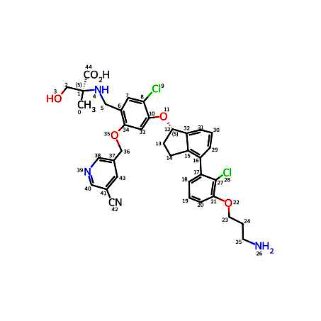 C[C@@](CO)(NCc1cc(Cl)c(O[C@H]2CCc3c(-c4cccc(OCCCN)c4Cl)cccc32)cc1OCc1cncc(C#N)c1)C(=O)O